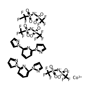 O=S(=O)([N-]S(=O)(=O)C(F)(F)F)C(F)(F)F.O=S(=O)([N-]S(=O)(=O)C(F)(F)F)C(F)(F)F.O=S(=O)([N-]S(=O)(=O)C(F)(F)F)C(F)(F)F.[Co+3].c1cc(-n2cccn2)nc(-n2cccn2)c1.c1cc(-n2cccn2)nc(-n2cccn2)c1